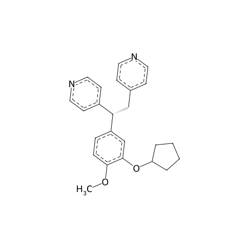 COc1ccc([C@@H](Cc2ccncc2)c2ccncc2)cc1OC1CCCC1